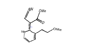 COCCC1=CC=CN/C1=C(\C=N)C(=O)OC